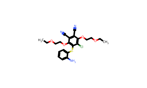 CCOCCOc1c(Cl)c(Sc2ccccc2N)c(OCCOCC)c(C#N)c1C#N